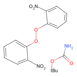 CC(C)(C)OC(N)=O.O=[N+]([O-])c1ccccc1OOc1ccccc1[N+](=O)[O-]